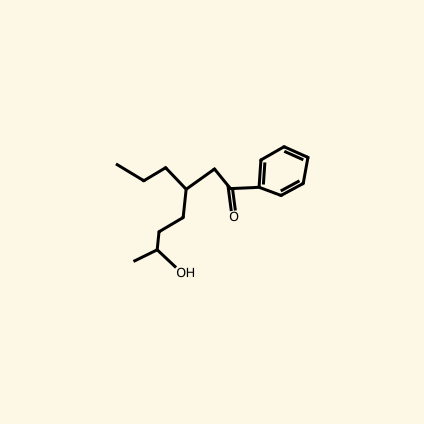 CCCC(CCC(C)O)CC(=O)c1ccccc1